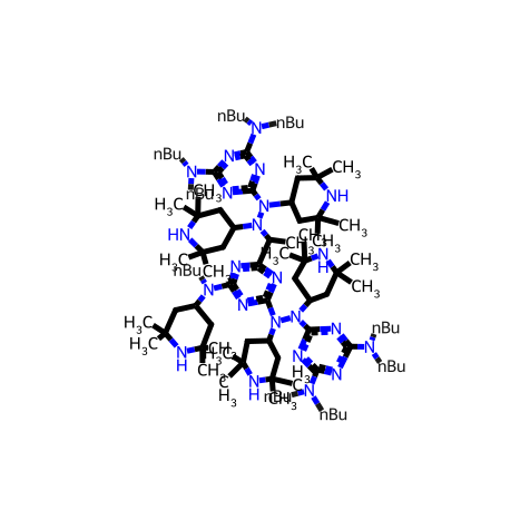 CCCCN(CCCC)c1nc(N(CCCC)CCCC)nc(N(C2CC(C)(C)NC(C)(C)C2)N(c2nc(C(C)N(C3CC(C)(C)NC(C)(C)C3)N(c3nc(N(CCCC)CCCC)nc(N(CCCC)CCCC)n3)C3CC(C)(C)NC(C)(C)C3)nc(N(CCCC)C3CC(C)(C)NC(C)(C)C3)n2)C2CC(C)(C)NC(C)(C)C2)n1